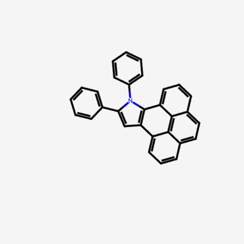 c1ccc(-c2cc3c4cccc5ccc6cccc(c6c54)c3n2-c2ccccc2)cc1